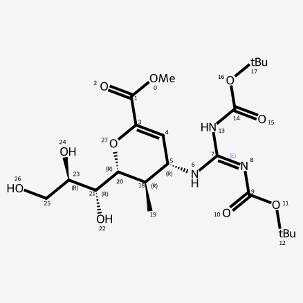 COC(=O)C1=C[C@H](N/C(=N\C(=O)OC(C)(C)C)NC(=O)OC(C)(C)C)[C@@H](C)[C@H]([C@H](O)[C@H](O)CO)O1